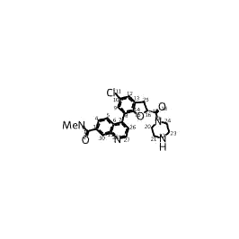 CNC(=O)c1ccc2c(-c3cc(Cl)cc4c3O[C@H](C(=O)N3CCNCC3)C4)ccnc2c1